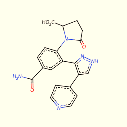 NC(=O)c1ccc(N2C(=O)CCC2C(=O)O)c(-c2n[nH]cc2-c2ccncc2)c1